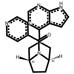 O=C(c1ccncc1)N1[C@@H]2CC[C@@H]1CN(c1ncnc3[nH]ccc13)C2